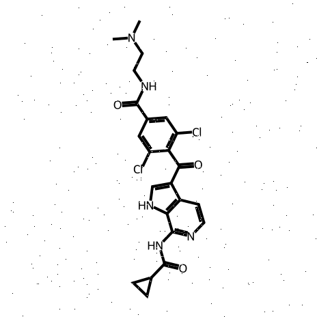 CN(C)CCNC(=O)c1cc(Cl)c(C(=O)c2c[nH]c3c(NC(=O)C4CC4)nccc23)c(Cl)c1